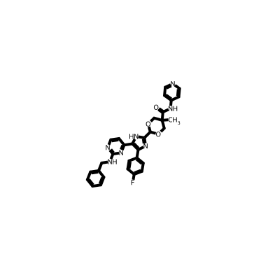 CC1(C(=O)Nc2ccncc2)COC(c2nc(-c3ccc(F)cc3)c(-c3ccnc(NCc4ccccc4)n3)[nH]2)OC1